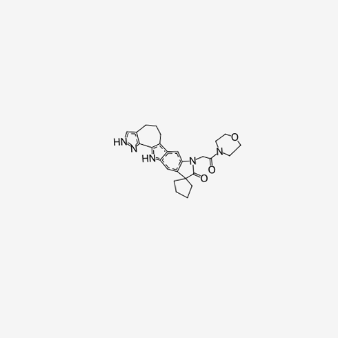 O=C(CN1C(=O)C2(CCCC2)c2cc3[nH]c4c(c3cc21)CCCc1c[nH]nc1-4)N1CCOCC1